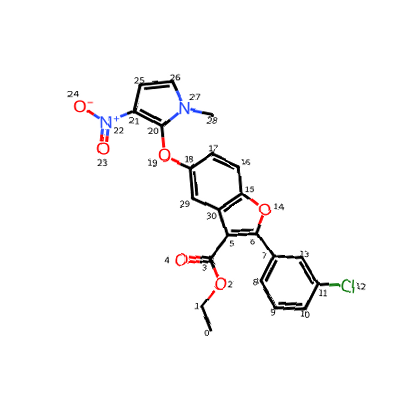 CCOC(=O)c1c(-c2cccc(Cl)c2)oc2ccc(Oc3c([N+](=O)[O-])ccn3C)cc12